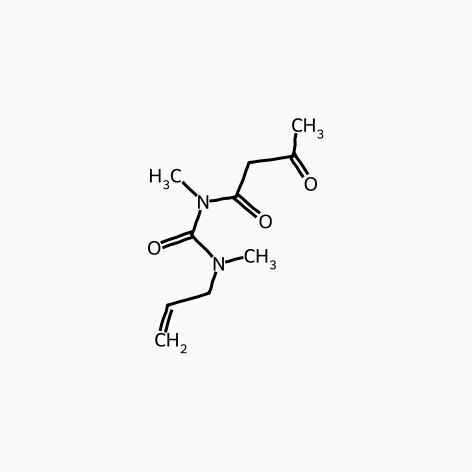 C=CCN(C)C(=O)N(C)C(=O)CC(C)=O